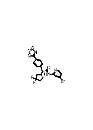 Cn1nnc(-c2ccc([C@@H](C(=O)Nc3cc(Br)ccn3)[C@H]3CCC(F)(F)C3)cc2)n1